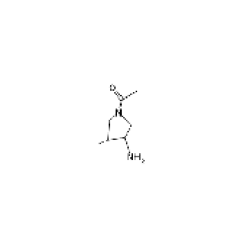 CC(=O)N1CC(C)C(N)C1